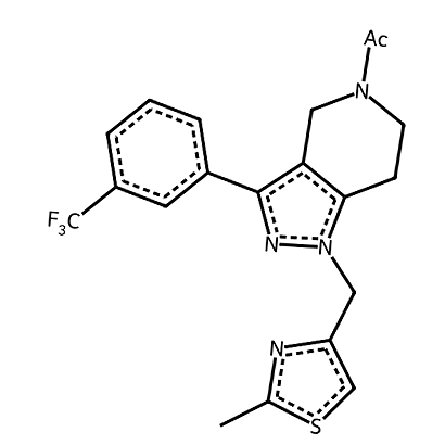 CC(=O)N1CCc2c(c(-c3cccc(C(F)(F)F)c3)nn2Cc2csc(C)n2)C1